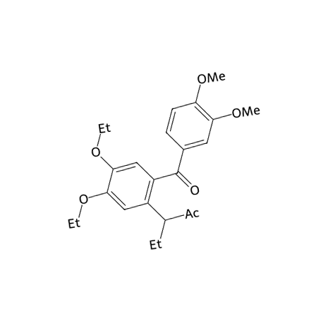 CCOc1cc(C(=O)c2ccc(OC)c(OC)c2)c(C(CC)C(C)=O)cc1OCC